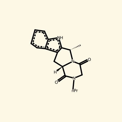 CCCN1CC(=O)N2[C@@H](Cc3c([nH]c4ccccc34)[C@@H]2C)C1=O